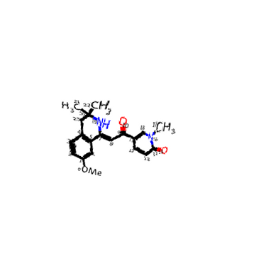 COc1ccc2c(c1)C(=CC(=O)c1ccc(=O)n(C)c1)NC(C)(C)C2